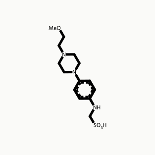 COCCN1CCN(c2ccc(N[CH]S(=O)(=O)O)cc2)CC1